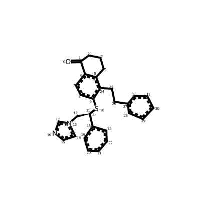 O=C1CCCc2c1ccc(S[C@H](Cn1ccnc1)c1ccccc1)c2CCc1ccccc1